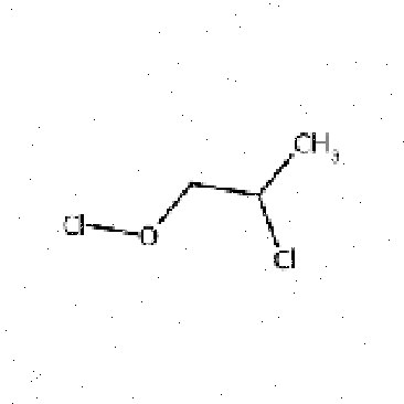 CC(Cl)COCl